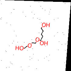 OCCCCC(O)OCCOCCO